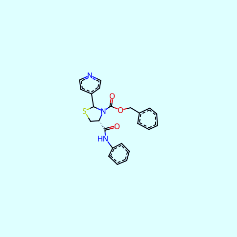 O=C(Nc1ccccc1)[C@@H]1CSC(c2ccncc2)N1C(=O)OCc1ccccc1